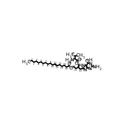 CCCCCCCCCCCC=CCCCCC(=O)OCCC(COC(=O)[C@@H](N)C(C)C)Cc1nc2nc(N)[nH]c(=O)c2[nH]1